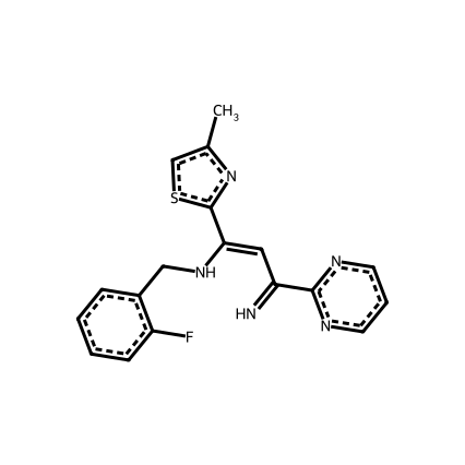 Cc1csc(/C(=C/C(=N)c2ncccn2)NCc2ccccc2F)n1